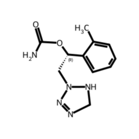 Cc1ccccc1[C@H](CN1N=NCN1)OC(N)=O